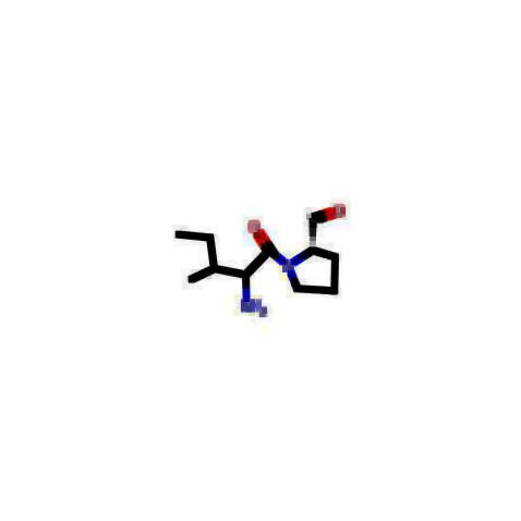 CCC(C)C(N)C(=O)N1CCC[C@H]1[C]=O